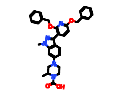 CC1CN(c2ccc3c(-c4ccc(OCc5ccccc5)nc4OCc4ccccc4)nn(C)c3c2)CCN1C(=O)O